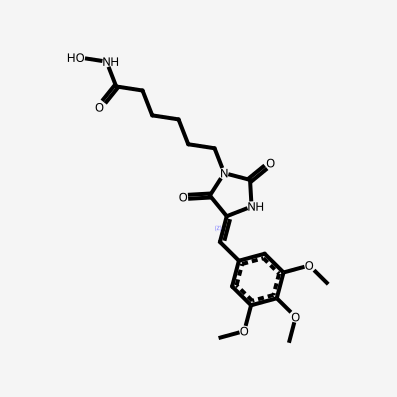 COc1cc(/C=C2\NC(=O)N(CCCCCC(=O)NO)C2=O)cc(OC)c1OC